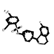 O=S(=O)(Nc1ccc(C2=NCCc3ccc(F)cc32)cc1)c1ccc(C(F)(F)F)cc1Cl